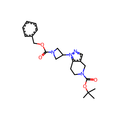 CC(C)(C)OC(=O)N1CCc2c(cnn2C2CN(C(=O)OCc3ccccc3)C2)C1